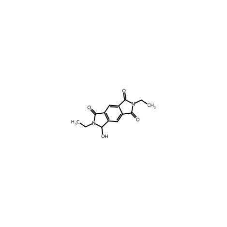 CCN1C(=O)c2cc3c(cc2C1=O)C(O)N(CC)C3=O